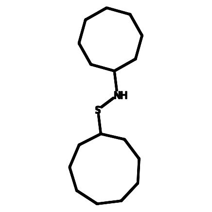 C1CCCC(NSC2CCCCCCCC2)CCC1